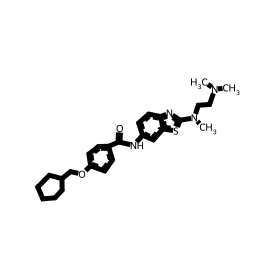 CN(C)CCN(C)c1nc2ccc(NC(=O)c3ccc(OCC4CCCCC4)cc3)cc2s1